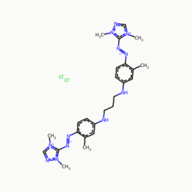 Cc1cc(NCCCNc2ccc(/N=N/c3n(C)nc[n+]3C)c(C)c2)ccc1/N=N/c1n(C)nc[n+]1C.[Cl-].[Cl-]